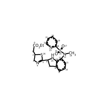 CCOC(=O)CC1CN=C(C2Cc3cccc(N(C)S(=O)(=O)c4ccccn4)c3N2)S1